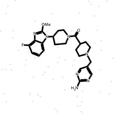 COc1nc2c(F)cccc2n1C1CCN(C(=O)C2CCN(Cc3cnc(N)nc3)CC2)CC1